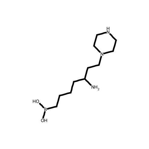 NC(CCCCB(O)O)CCN1CCNCC1